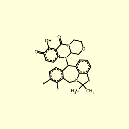 CC1(C)Sc2cccc3c2N1Cc1c(ccc(F)c1F)C3N1C2COCCN2C(=O)c2c(O)c(=O)ccn21